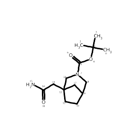 CC(C)(C)OC(=O)N1CC2CCC(CC(N)=O)(C2)C1